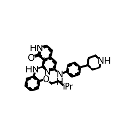 CC(C)CCOc1ccccc1Nc1nc(Nc2ccc(C3CCNCC3)cc2)cc2cc[nH]c(=O)c12